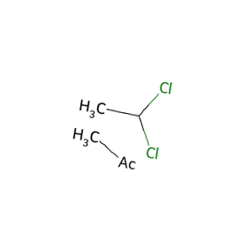 CC(C)=O.CC(Cl)Cl